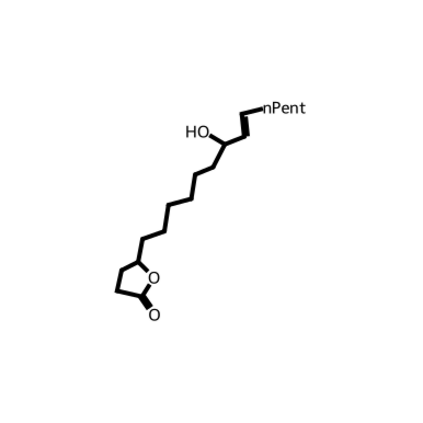 CCCCC/C=C/C(O)CCCCCCC1CCC(=O)O1